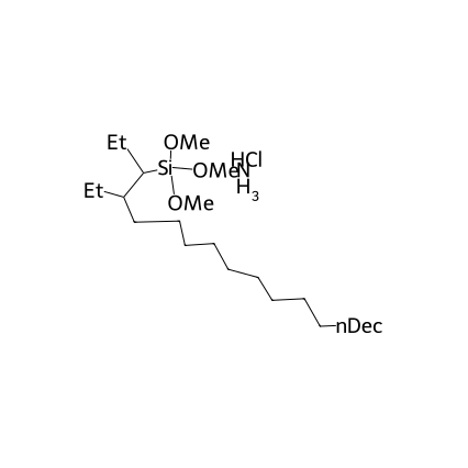 CCCCCCCCCCCCCCCCCCCC(CC)C(CC)[Si](OC)(OC)OC.Cl.N